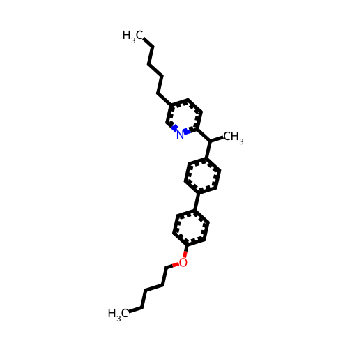 CCCCCOc1ccc(-c2ccc(C(C)c3ccc(CCCCC)cn3)cc2)cc1